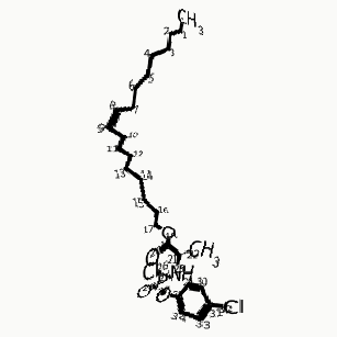 CCCCCCCC/C=C\CCCCCCCCOC(=O)[C@H](C)NP(=O)(Cl)Oc1ccc(Cl)cc1